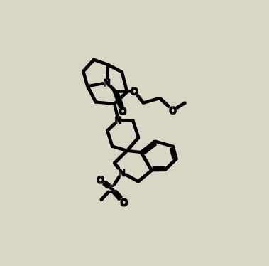 COCCOC(=O)N1C2CCC(N3CCC4(CC3)CN(S(C)(=O)=O)Cc3ccccc34)CC1CC2